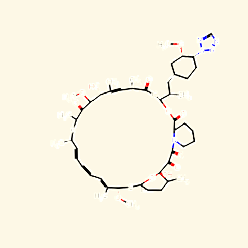 COC1C(=O)C(C)C[C@H](C)/C=C/C=C/C=C(\C)[C@@H](OC)C[C@@H]2CCC(C)C(O)(O2)C(=O)C(=O)N2CCCCC2C(=O)O[C@H]([C@H](C)C[C@@H]2CC[C@H](n3ncnn3)[C@H](OC)C2)CC(=O)[C@H](C)/C=C(\C)[C@H]1O